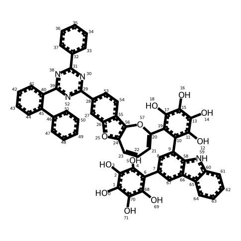 Oc1c(O)c(O)c(-c2cc(-c3c(O)c(O)c(O)c(O)c3C3=CC=Cc4oc5cc(-c6nc(-c7ccccc7)nc(-c7ccccc7-c7ccccc7)n6)ccc5c4O3)c3[nH]c4ccccc4c3c2)c(O)c1O